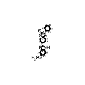 O=C1O[C@]2(CC[C@@H](c3nc4cc(OC(F)(F)F)ccc4[nH]3)CC2)CN1c1ccccc1